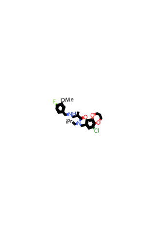 COc1cc(CNCC(C)C(=O)N(Cc2cc(Cl)c3c(c2)OCCCO3)CC(C)C)ccc1F